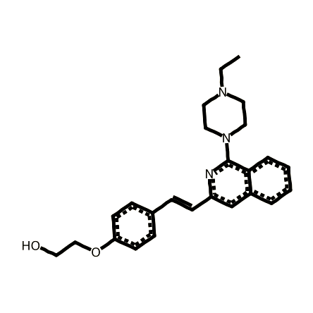 CCN1CCN(c2nc(/C=C/c3ccc(OCCO)cc3)cc3ccccc23)CC1